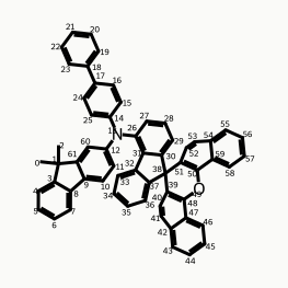 CC1(C)c2ccccc2-c2ccc(N(c3ccc(-c4ccccc4)cc3)c3cccc4c3-c3ccccc3C43c4ccc5ccccc5c4Oc4c3ccc3ccccc43)cc21